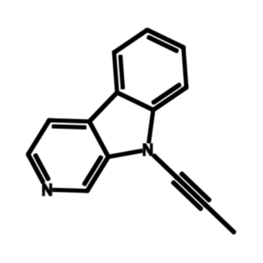 CC#Cn1c2ccccc2c2ccncc21